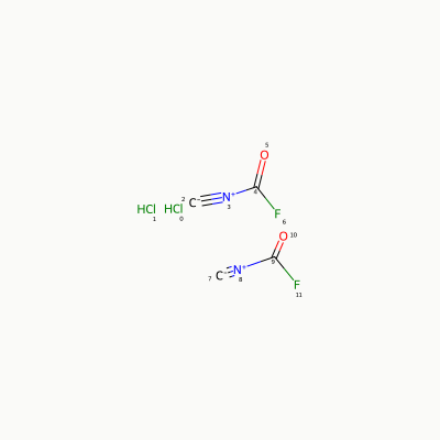 Cl.Cl.[C-]#[N+]C(=O)F.[C-]#[N+]C(=O)F